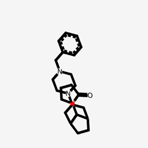 O=C1CCCN1C1C2CCC1CC(N1CCN(Cc3ccccc3)CC1)C2